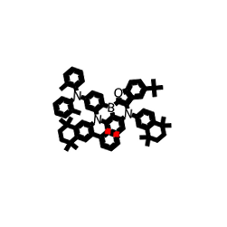 Cc1cc2c3c(c1)N(c1ccc4c(c1)C(C)(C)CCC4(C)C)c1c(oc4ccc(C(C)(C)C)cc14)B3c1ccc(N(c3ccccc3C)c3ccccc3C)cc1N2c1cc2c(cc1-c1ccccc1)C(C)(C)CCC2(C)C